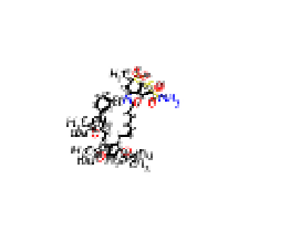 CCN(C(=O)CCC/C=C\C[C@H]1C(O[Si](C)(C)C(C)(C)C)CC(O[Si](C)(C)C(C)(C)C)[C@@H]1CCC(CCc1ccccc1)O[Si](C)(C)C(C)(C)C)[C@H]1C[C@H](C)S(=O)(=O)c2sc(S(N)(=O)=O)cc21